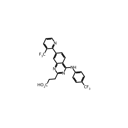 O=C(O)CCc1nc(Nc2ccc(C(F)(F)F)cc2)c2ccc(-c3ncccc3C(F)(F)F)cc2n1